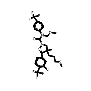 COCN(C(=O)N1CC(C)(CCCSC)C(c2ccc(C(F)(F)F)c(Cl)c2)=N1)c1ccc(C(F)(F)F)cc1